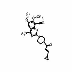 COc1cc2c(N)nc(N3CCN(C(=O)C=CC4CC4)CC3)nc2c(C#N)c1OC